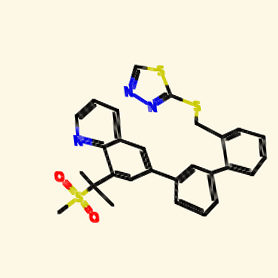 CC(C)(c1cc(-c2cccc(-c3ccccc3CSc3nncs3)c2)cc2cccnc12)S(C)(=O)=O